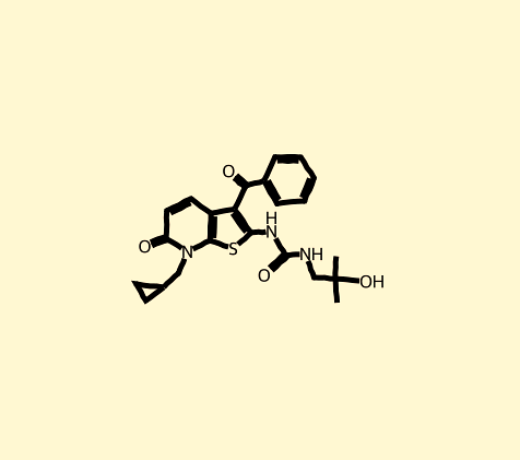 CC(C)(O)CNC(=O)Nc1sc2c(ccc(=O)n2CC2CC2)c1C(=O)c1ccccc1